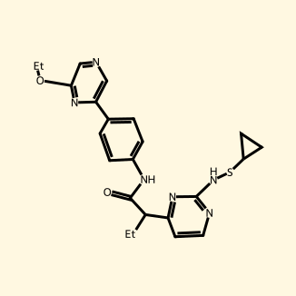 CCOc1cncc(-c2ccc(NC(=O)C(CC)c3ccnc(NSC4CC4)n3)cc2)n1